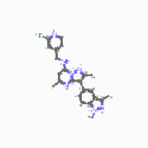 Cc1cc(NCc2ccnc(F)c2)n2nc(C)c(-c3ccc4c(c3)c(C)nn4C)c2n1